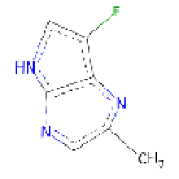 Cc1cnc2[nH]cc(F)c2n1